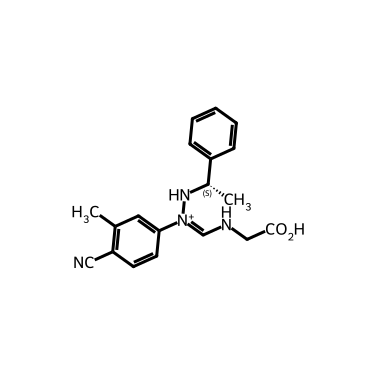 Cc1cc([N+](=CNCC(=O)O)N[C@@H](C)c2ccccc2)ccc1C#N